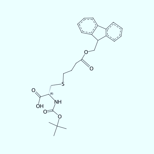 CC(C)(C)OC(=O)N[C@@H](CSCCCC(=O)OCC1c2ccccc2-c2ccccc21)C(=O)O